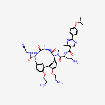 Cc1nc(-c2ccc(OC(C)C)cc2)ncc1C(=O)N[C@@H](CCN)C(=O)N(C)[C@@H]1C(=O)N[C@@H](C)C(=O)N[C@H](C(=O)NCC#N)Cc2ccc(OCCN)c(c2)-c2cc1ccc2OCCN